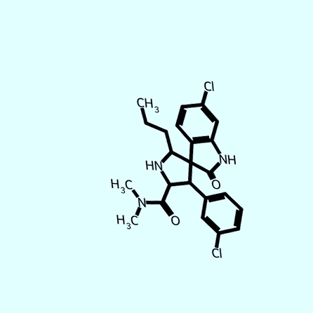 CCCC1NC(C(=O)N(C)C)C(c2cccc(Cl)c2)C12C(=O)Nc1cc(Cl)ccc12